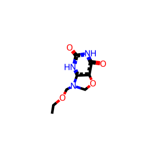 CCOCN1COc2c1[nH]c(=O)[nH]c2=O